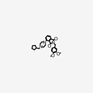 COc1ccc(CN2C(=O)c3cccc(N4CCN(CC5CCCC5)CC4)c3C2=O)cc1OC